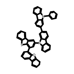 C1=Cc2c(oc3c(-c4cc(-n5c6ccccc6c6ccc(-c7ccc8c9ccccc9n(-c9ccccc9)c8c7)cc65)cc5c4sc4ccccc45)cccc23)CC1